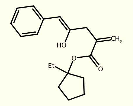 C=C(CC(O)=Cc1ccccc1)C(=O)OC1(CC)CCCC1